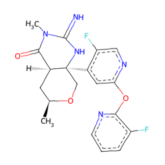 C[C@H]1C[C@H]2C(=O)N(C)C(=N)N[C@@]2(c2cc(Oc3ncccc3F)ncc2F)CO1